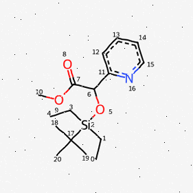 CC[Si](CC)(OC(C(=O)OC)c1ccccn1)C(C)(C)C